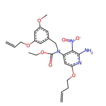 C=CCCOc1cc(N(Cc2cc(OC)cc(OCC=C)c2)C(=O)OCC)c([N+](=O)[O-])c(N)n1